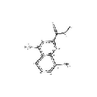 COC(=O)c1cc(N)c2cccc(N)c2n1